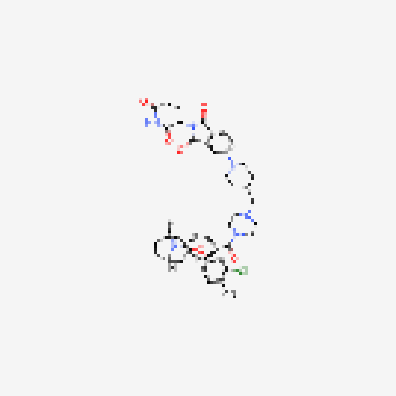 N#Cc1ccc(OC2C[C@H]3CC[C@@H](C2)N3c2ccc(C(=O)N3CCN(CC4CCN(c5ccc6c(c5)C(=O)N(C5CCC(=O)NC5=O)C6=O)CC4)CC3)cc2)cc1Cl